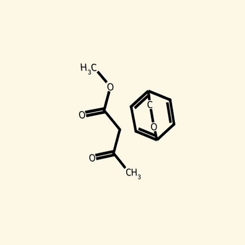 COC(=O)CC(C)=O.c1cc2ccc1CO2